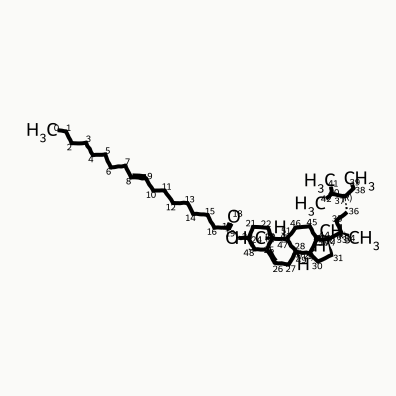 CCCCCCCCC=CCCCCCCCC(=O)OC1CC[C@@]2(C)C(=CC[C@H]3[C@@H]4CC[C@H]([C@H](C)CC[C@@H](CC)C(C)C)[C@@]4(C)CC[C@@H]32)C1